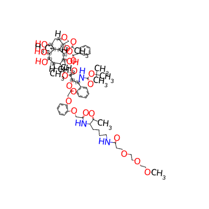 COCCOCCOCCC(=O)NCCCCC(NC(=O)COc1ccccc1OCC(=O)O[C@@H](C(=O)O[C@H]1C[C@@]2(O)[C@@H](OC(=O)c3ccccc3)[C@@H]3[C@]4(OC(C)=O)CO[C@@H]4C[C@H](O)[C@@]3(C)[C@H](O)[C@H](O)[C@@H](C1C)C2(C)C)[C@@H](NC(=O)OC(C)(C)C)c1ccccc1)C(C)=O